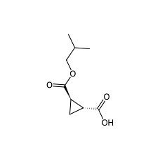 CC(C)COC(=O)[C@@H]1C[C@H]1C(=O)O